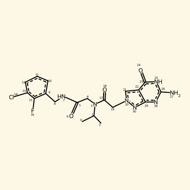 CC(C)N(CC(=O)NCc1cccc(Cl)c1F)C(=O)Cn1cc2c(=O)[nH]c(N)nc2n1